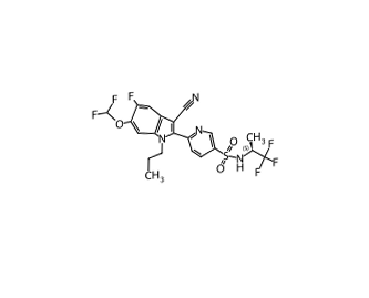 CCCn1c(-c2ccc(S(=O)(=O)N[C@@H](C)C(F)(F)F)cn2)c(C#N)c2cc(F)c(OC(F)F)cc21